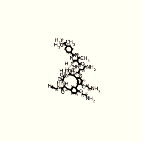 Cc1nc(C2CCC(C(C)(C)C)CC2)nc(C)c1C(=O)NC(CCN)C(=O)N(C)C1C(=O)NC(C)C(=O)NC(C(=O)NCC#N)Cc2ccc(OCCN)c(c2)-c2cc1ccc2OCCN